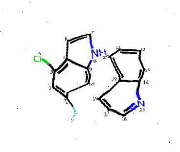 Fc1cc(Cl)c2cc[nH]c2c1.c1ccc2ncccc2c1